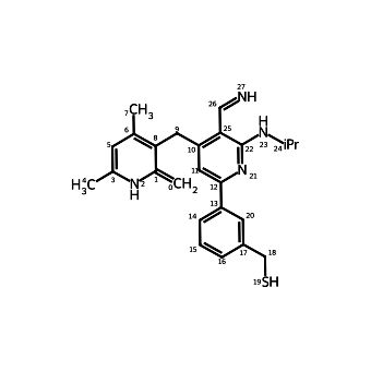 C=C1NC(C)=CC(C)=C1Cc1cc(-c2cccc(CS)c2)nc(NC(C)C)c1C=N